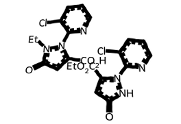 CCOC(=O)c1cc(=O)[nH]n1-c1ncccc1Cl.CCn1c(=O)cc(C(=O)O)n1-c1ncccc1Cl